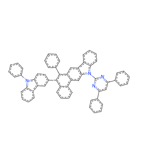 c1ccc(-c2cc(-c3ccccc3)nc(-n3c4ccccc4c4cc5c(-c6ccccc6)c(-c6ccc7c(c6)c6ccccc6n7-c6ccccc6)c6ccccc6c5cc43)n2)cc1